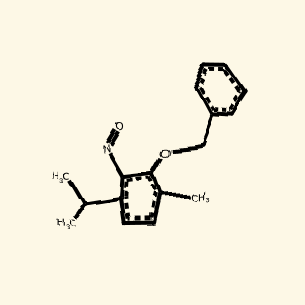 Cc1ccc(C(C)C)c(N=O)c1OCc1ccccc1